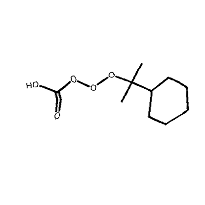 CC(C)(OOOC(=O)O)C1CCCCC1